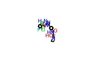 CC(Oc1nc(-c2ccc(C(=O)NC[C@H](O)CN3CCCC3)cc2)cnc1N)c1c(Cl)ccc(F)c1Cl